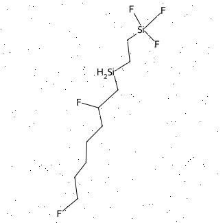 FCCCCCC(F)C[SiH2]CC[Si](F)(F)F